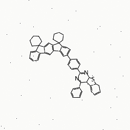 C1=CCC2SC3N=C(c4ccc(-c5ccc6c(c5)-c5cc7c(cc5C65CCCCC5)C5(CCCCC5)c5ccccc5-7)cc4)N=C(c4ccccc4)C3C2=C1